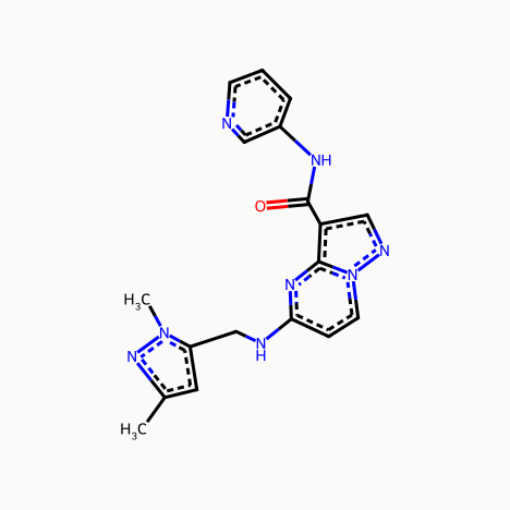 Cc1cc(CNc2ccn3ncc(C(=O)Nc4cccnc4)c3n2)n(C)n1